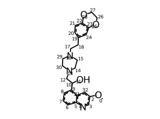 COc1cnc2cccc(C(O)CN3CCN(CCc4ccc5c(c4)OCCO5)CC3)c2c1